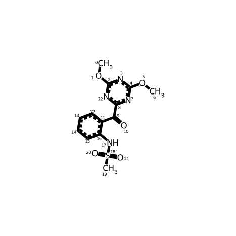 COc1nc(OC)nc(C(=O)c2ccccc2NS(C)(=O)=O)n1